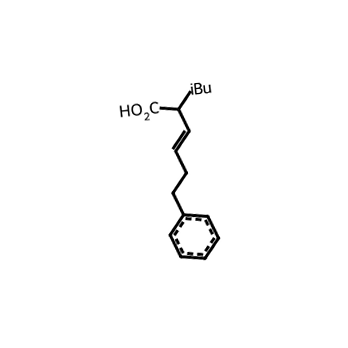 CCC(C)C(C=CCCc1ccccc1)C(=O)O